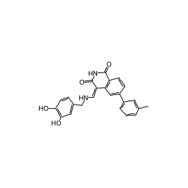 Cc1cccc(-c2ccc3c(c2)C(=CNCc2ccc(O)c(O)c2)C(=O)NC3=O)c1